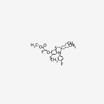 CCCCC1(CCCC)CSc2cc(O/C=C(\F)C(=O)OCC)c(SC)cc2N(c2ccc(F)cc2)C1